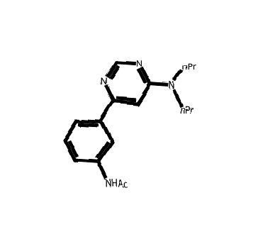 CCCN(CCC)c1cc(-c2cccc(NC(C)=O)c2)ncn1